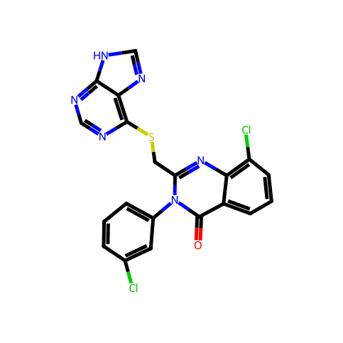 O=c1c2cccc(Cl)c2nc(CSc2ncnc3[nH]cnc23)n1-c1cccc(Cl)c1